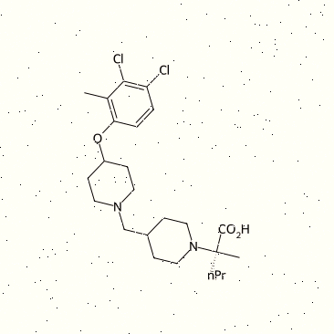 CCC[C@@](C)(C(=O)O)N1CCC(CN2CCC(Oc3ccc(Cl)c(Cl)c3C)CC2)CC1